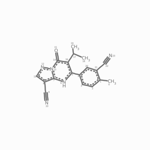 Cc1ccc(-c2[nH]c3c(C#N)cnn3c(=O)c2C(C)C)cc1C#N